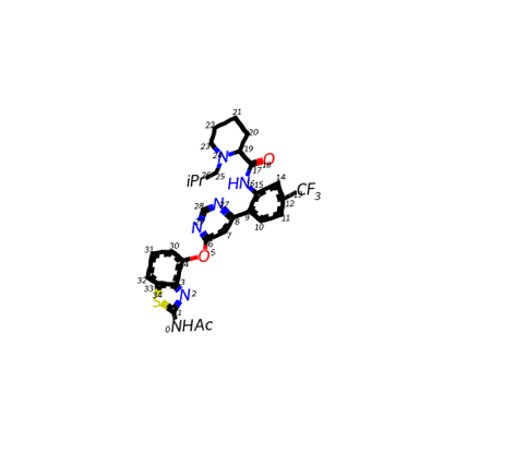 CC(=O)Nc1nc2c(Oc3cc(-c4ccc(C(F)(F)F)cc4NC(=O)C4CCCCN4CC(C)C)ncn3)cccc2s1